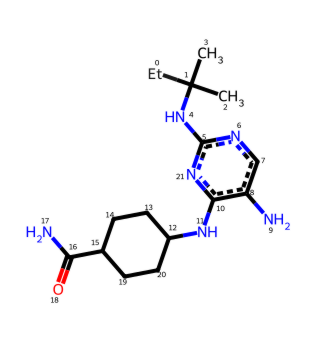 CCC(C)(C)Nc1ncc(N)c(NC2CCC(C(N)=O)CC2)n1